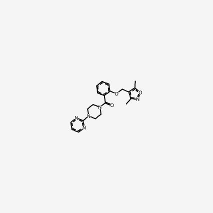 Cc1noc(C)c1COc1ccccc1C(=O)N1CCN(c2ncccn2)CC1